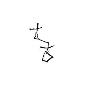 CC(C)(C)N1CC1CC(C)(C)N1CCC1